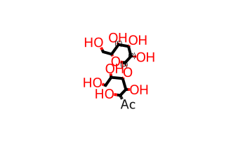 CC(=O)C(O)C(O)C(O[C@@H]1OC(CO)[C@@H](O)C(O)[C@H]1O)C(O)CO